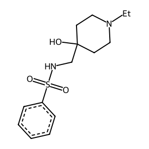 CCN1CCC(O)(CNS(=O)(=O)c2ccccc2)CC1